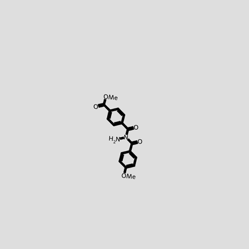 COC(=O)c1ccc(C(=O)N(N)C(=O)c2ccc(OC)cc2)cc1